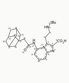 CC(C)(C)NCCc1c(C(=O)O)nc2cccc(NC(=O)CC34CC5CC(CC(C5)C3)C4)n12